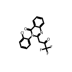 O=C(Cc1nc2ccccc2c(=O)n1-c1ccccc1Cl)C(F)(F)F